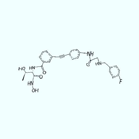 C[C@@H](O)[C@H](NC(=O)c1cccc(C#Cc2ccc(NC(=O)CNCc3ccc(F)cc3)cc2)c1)C(=O)NO